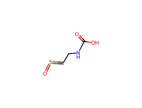 O=S=CCNC(=O)O